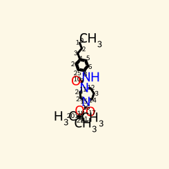 CCCCc1ccc(NC(=O)N2CCCN(C(=O)OC(C)(C)C)CC2)cc1